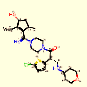 CNC1=C(C(=N)N2CCN(C(=O)[C@H](CNC3CCOCC3)c3ccc(Cl)s3)CC2)[C@H](C)C[C@@H]1O